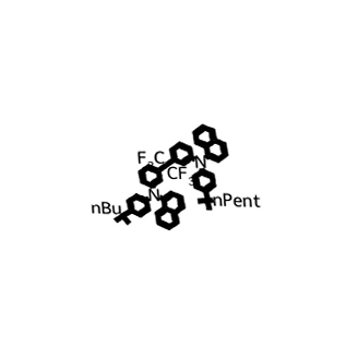 CCCCCC(C)(C)c1ccc(N(c2cccc(C(c3cccc(N(c4ccc(C(C)(C)CCCC)cc4)c4cccc5ccccc45)c3)(C(F)(F)F)C(F)(F)F)c2)c2cccc3ccccc23)cc1